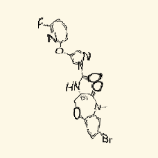 CN1C(=O)[C@@H](NC(=O)n2cc(Oc3cccc(F)n3)cn2)COc2ccc(Br)cc21